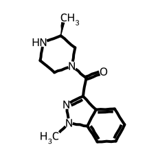 C[C@H]1CN(C(=O)c2nn(C)c3ccccc23)CCN1